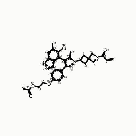 C=CC(=O)N1CC2(CC(n3nc(-c4ccc(OCCOC(C)=O)cc4)c(-c4c(Cl)c(C)cc5[nH]ncc45)c3C)C2)C1